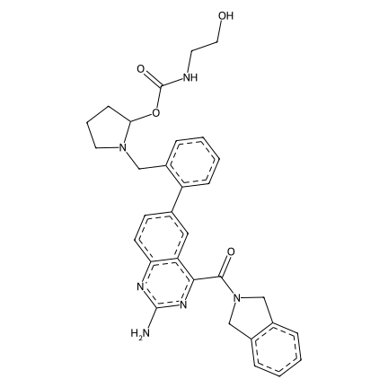 Nc1nc(C(=O)N2Cc3ccccc3C2)c2cc(-c3ccccc3CN3CCCC3OC(=O)NCCO)ccc2n1